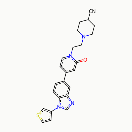 N#CC1CCN(CCn2ccc(-c3ccc4c(c3)ncn4-c3ccsc3)cc2=O)CC1